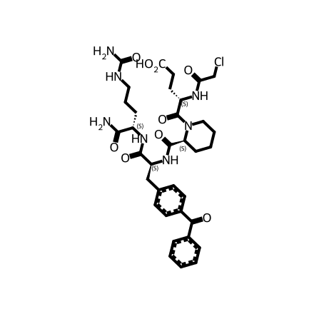 NC(=O)NCCC[C@H](NC(=O)[C@H](Cc1ccc(C(=O)c2ccccc2)cc1)NC(=O)[C@@H]1CCCCN1C(=O)[C@H](CCC(=O)O)NC(=O)CCl)C(N)=O